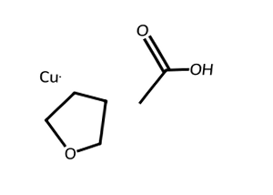 C1CCOC1.CC(=O)O.[Cu]